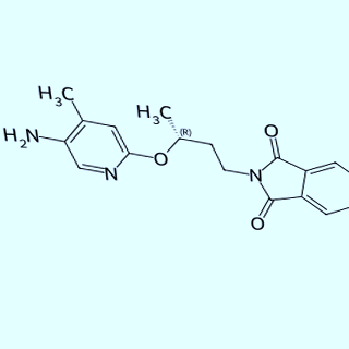 Cc1cc(O[C@H](C)CCN2C(=O)c3ccccc3C2=O)ncc1N